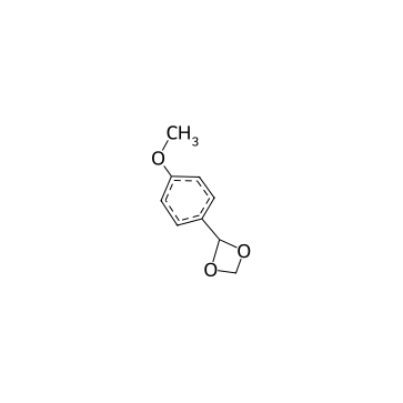 COc1ccc(C2OCO2)cc1